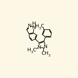 Cc1cccc(-c2nc(C)n(C)c2-c2ccc3cn[nH]c3c2)c1